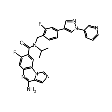 CC(C)N(Cc1ccc(-c2cnn(-c3cccnc3)c2)cc1F)C(=O)c1cc2c(cc1F)nc(N)c1cncn12